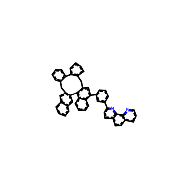 c1cc(-c2ccc3ccc4cccnc4c3n2)cc(-c2cc3c(c4ccccc24)-c2cc4ccccc4cc2Cc2ccccc2-c2ccccc2C3)c1